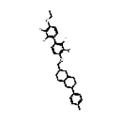 CCOc1ccc(-c2ccc(OCC3CCC4CC(c5ccc(C)cc5)CCC4C3)c(F)c2F)c(F)c1F